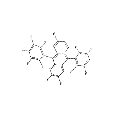 Fc1ccc2c(-c3c(F)c(F)cc(F)c3F)c3cc(F)c(F)cc3c(-c3c(F)c(F)c(F)c(F)c3F)c2c1